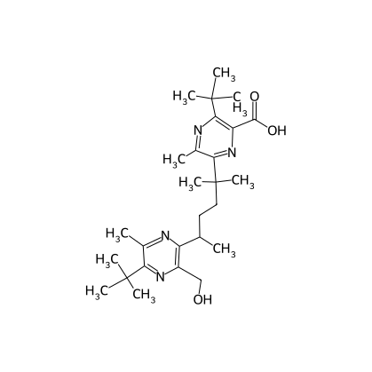 Cc1nc(C(C)CCC(C)(C)c2nc(C(=O)O)c(C(C)(C)C)nc2C)c(CO)nc1C(C)(C)C